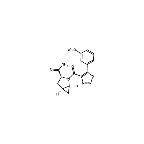 COc1cccc(-c2scnc2C(=O)N2[C@H](C(N)=O)C[C@@H]3C[C@@H]32)c1